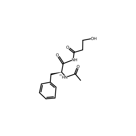 CC(=O)N[C@@H](Cc1ccccc1)C(=O)NC(=O)CCO